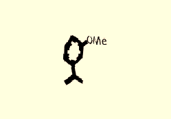 C=C(C)c1cccc(OC)c1